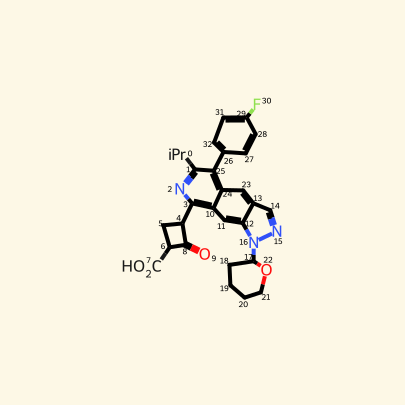 CC(C)c1nc(C2CC(C(=O)O)C2=O)c2cc3c(cnn3C3CCCCO3)cc2c1-c1ccc(F)cc1